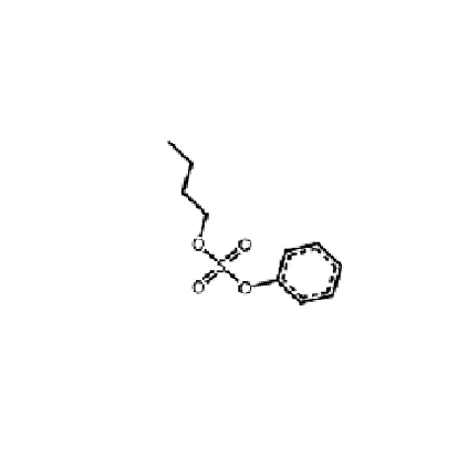 CCCCOS(=O)(=O)Oc1ccccc1